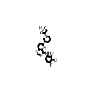 C=CC(=O)N1CCC[C@H](c2ccc3ncnc(Nc4ccc(F)c(Cl)c4F)c3n2)C1